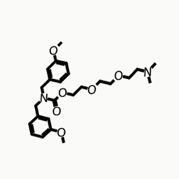 COc1cccc(CN(Cc2cccc(OC)c2)C(=O)OCCOCCOCCN(C)C)c1